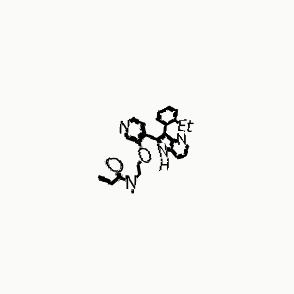 C=CC(=O)N(C)CCOc1cnccc1-c1[nH]c2cccnc2c1-c1ccccc1CC